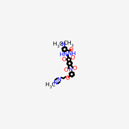 CN1CCN(CCCOc2cccc(N3C(=O)c4cc5c(cc4C3=O)C(=O)C(=C3NC(=O)c4cc(N(C)C)ccc4N3)C5=O)c2)CC1